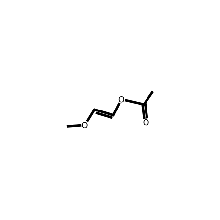 CO/C=C/OC(C)=O